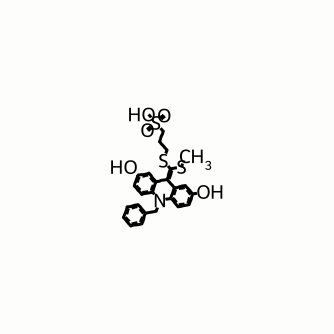 CSC(SCCCS(=O)(=O)O)=C1c2cc(O)ccc2N(Cc2ccccc2)c2ccc(O)cc21